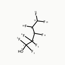 OC(F)(F)C(F)(F)C(F)C(F)C(F)F